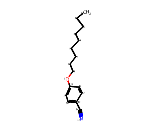 CCCCCCCCCOc1ccc(C#N)cc1